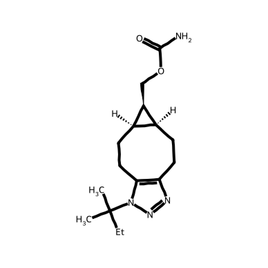 CCC(C)(C)n1nnc2c1CC[C@@H]1[C@H](CC2)[C@@H]1COC(N)=O